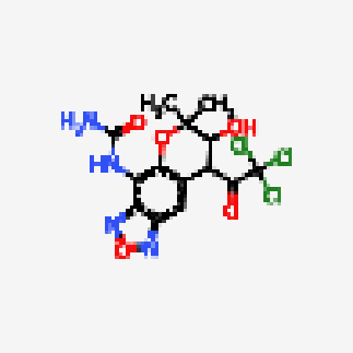 CC1(C)Oc2c(cc3nonc3c2NC(N)=O)C(C(=O)C(Cl)(Cl)Cl)C1O